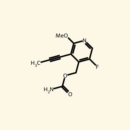 CC#Cc1c(OC)ncc(F)c1COC(N)=O